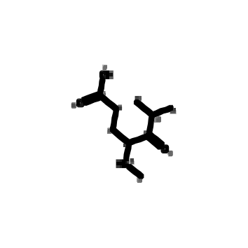 CNC(CCC(=O)O)C(=O)C(C)C